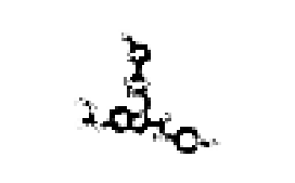 CC(C)OC(=O)Oc1ccc2c(c1)cc(C(=O)NC1CCN(C(C)C)CC1)n2Cc1nnc(-c2ccc(Cl)s2)s1